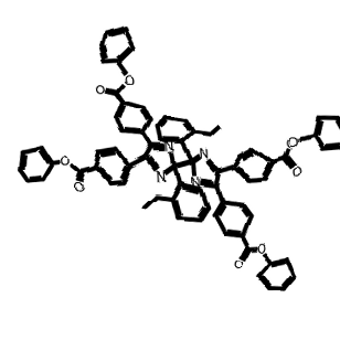 CCc1ccccc1C1(C2(c3ccccc3CC)N=C(c3ccc(C(=O)Oc4ccccc4)cc3)C(c3ccc(C(=O)Oc4ccccc4)cc3)=N2)N=C(c2ccc(C(=O)Oc3ccccc3)cc2)C(c2ccc(C(=O)Oc3ccccc3)cc2)=N1